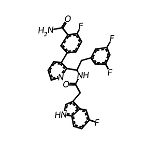 NC(=O)c1cc(-c2cccnc2C(Cc2cc(F)cc(F)c2)NC(=O)Cc2c[nH]c3ccc(F)cc23)ccc1F